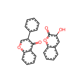 O=c1c(-c2ccccc2)coc2ccccc12.O=c1oc2ccccc2cc1O